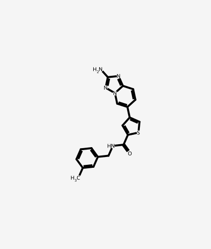 Cc1cccc(CNC(=O)c2cc(-c3ccc4nc(N)nn4c3)cs2)c1